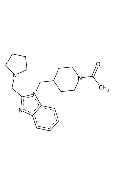 CC(=O)N1CCC(Cn2c(CN3CCCC3)nc3ccccc32)CC1